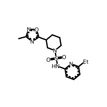 CCc1cccc(NS(=O)(=O)N2CCCC(c3nc(C)no3)C2)n1